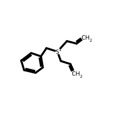 C=CC[S+](CC=C)Cc1ccccc1